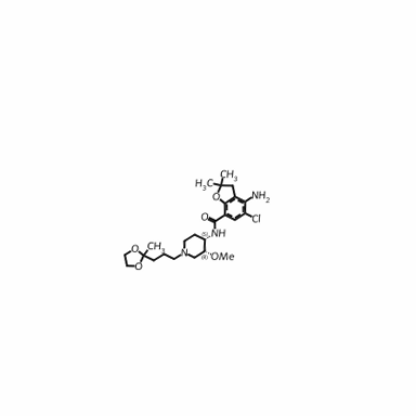 CO[C@@H]1CN(CCCC2(C)OCCO2)CC[C@@H]1NC(=O)c1cc(Cl)c(N)c2c1OC(C)(C)C2